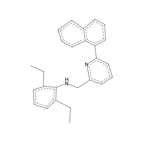 CCc1cccc(CC)c1NCc1cccc(-c2cccc3ccccc23)n1